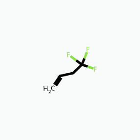 C=[C]CC(F)(F)F